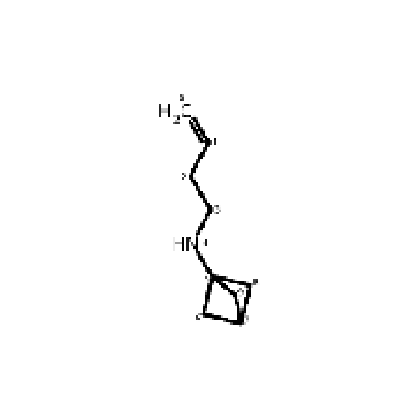 C=CCCNC12CC(C1)C2